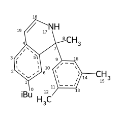 CCC(C)c1ccc2c(c1)C(C)(c1cc(C)cc(C)c1)NC=C2